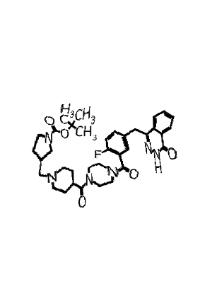 CC(C)(C)OC(=O)N1CC[C@H](CN2CCC(C(=O)N3CCN(C(=O)c4cc(Cc5n[nH]c(=O)c6ccccc56)ccc4F)CC3)CC2)C1